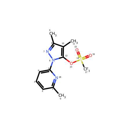 Cc1cccc(-n2nc(C)c(C)c2OS(=O)(=O)C(F)(F)F)n1